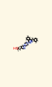 CC(C)(O)Cc1ccc(N2CCN(c3nnc(Cc4ccccc4)c4ccccc34)CC2)nc1